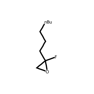 CCCCCCCC1(F)CO1